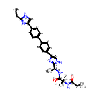 CC(C)(C)Cc1nc(-c2ccc(-c3ccc(-c4c[nH]c(C(NC(=O)C(C)(C)NC(=O)CC(F)(F)F)C(C)(C)C)n4)cc3)cc2)c[nH]1